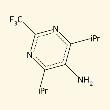 CC(C)c1nc(C(F)(F)F)nc(C(C)C)c1N